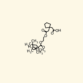 CC(C)(C)CC(C)(C(=O)OCCOC(=O)CC1(CC(=O)O)CCCC1)C(C)(C)C